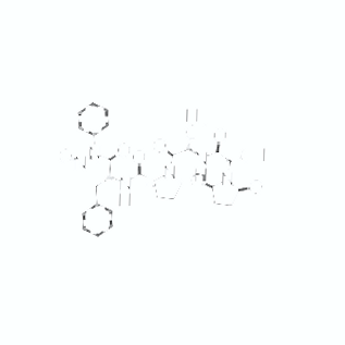 C[C@H](NC(=O)[C@H](C)N1C(=O)CCC1=O)C(=O)N1CCC[C@H]1C(=O)N[C@@H](Cc1ccccc1)C(=O)N([N+]=O)c1ccccc1